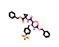 CS(=O)(=O)c1ccc(C[C@@H](NC(=O)OCc2ccccc2)[C@H](O)C(=O)NC2(C(=O)OCc3ccccc3)CC2)cc1